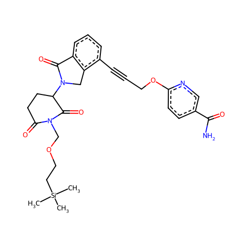 C[Si](C)(C)CCOCN1C(=O)CCC(N2Cc3c(C#CCOc4ccc(C(N)=O)cn4)cccc3C2=O)C1=O